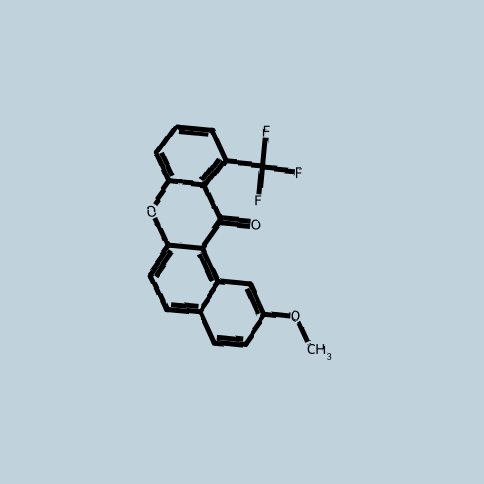 COc1ccc2ccc3oc4cccc(C(F)(F)F)c4c(=O)c3c2c1